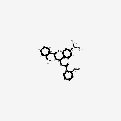 COc1ccccc1C(=O)CC(CC(=O)c1ccccc1OC)c1ccc(N(C)C)cc1